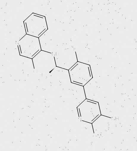 COc1ncc(-c2ccc(F)c([C@@H](C)Nc3c(Cl)cnc4ccccc34)c2)cc1N